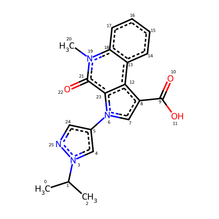 CC(C)n1cc(-n2cc(C(=O)O)c3c4ccccc4n(C)c(=O)c32)cn1